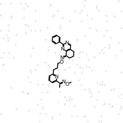 CON=C(C)c1cccc(CCCON=C2CCCc3cnc(-c4ccccc4)nc32)n1